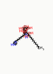 CCCCCCCCCCCCCC[C@@H](O)[C@@H](O)[C@H](COC1OC(CO)C(O)C(O)C1O)NC1(CCCCCCCCCCN2CCNCC2)COC1